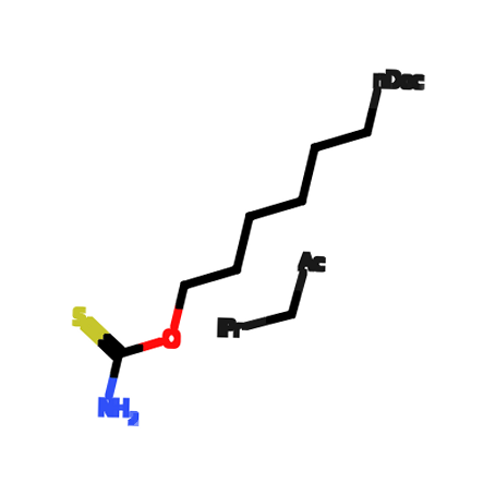 CC(=O)CC(C)C.CCCCCCCCCCCCCCCCOC(N)=S